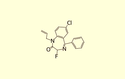 C=CCN1C(=O)C(F)N=C(c2ccccc2)c2cc(Cl)ccc21